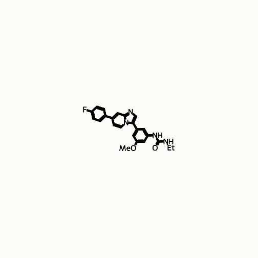 CCNC(=O)Nc1cc(OC)cc(-c2cnc3cc(-c4ccc(F)cc4)ccn23)c1